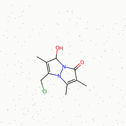 CC1=C(CCl)n2c(C)c(C)c(=O)n2C1O